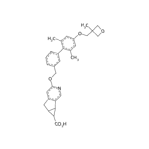 Cc1cc(OCC2(C)COC2)cc(C)c1-c1cccc(COc2cc3c(cn2)C2C(C3)C2C(=O)O)c1